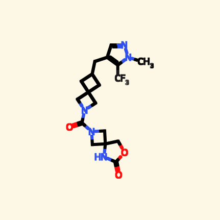 Cn1ncc(CC2CC3(C2)CN(C(=O)N2CC4(COC(=O)N4)C2)C3)c1C(F)(F)F